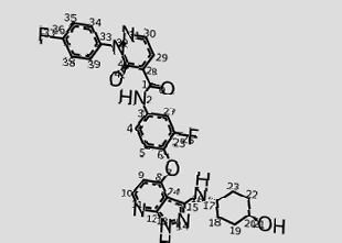 O=C(Nc1ccc(Oc2ccnc3[nH]nc(N[C@H]4CC[C@H](O)CC4)c23)c(F)c1)c1ccnn(-c2ccc(F)cc2)c1=O